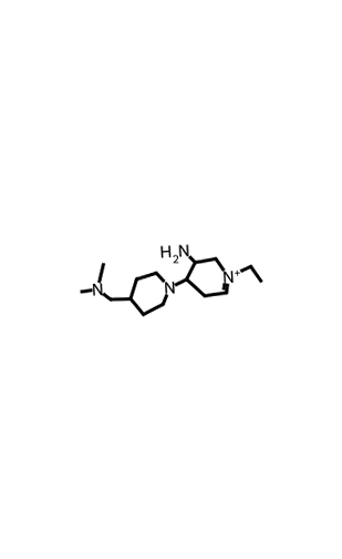 CC[N+]1=CCC(N2CCC(CN(C)C)CC2)C(N)C1